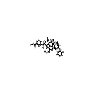 C=CC(=O)N1CCCC(NC(=O)c2sc3c(N)ccc4c3c2C(N)C(=O)C4(N)c2cnc(Oc3ccccc3)cn2)C1